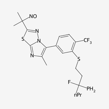 CCCC(F)(P)CCSc1cc(-c2c(C)nc3sc(C(C)(C)N=O)nn23)ccc1C(F)(F)F